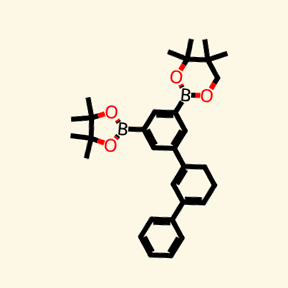 CC1(C)COB(c2cc(B3OC(C)(C)C(C)(C)O3)cc(C3=CC(c4ccccc4)=CCC3)c2)OC1(C)C